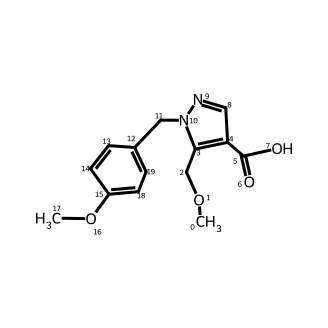 COCc1c(C(=O)O)cnn1Cc1ccc(OC)cc1